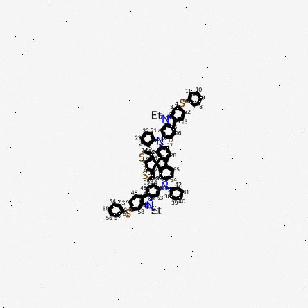 CCn1c2cc(Sc3ccccc3)ccc2c2ccc(N(c3ccccc3)c3ccc4c(c3)C3(c5cc(N(c6ccccc6)c6ccc7c8ccc(Sc9ccccc9)cc8n(CC)c7c6)ccc5-4)c4ccsc4-c4sccc43)cc21